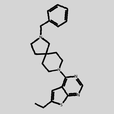 CCc1cc2c(N3CCC4(CCN(Cc5ccccc5)C4)CC3)ncnc2s1